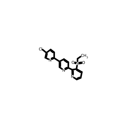 CCS(=O)(=O)c1cccnc1-c1ccc(-c2ccc(Cl)cn2)cn1